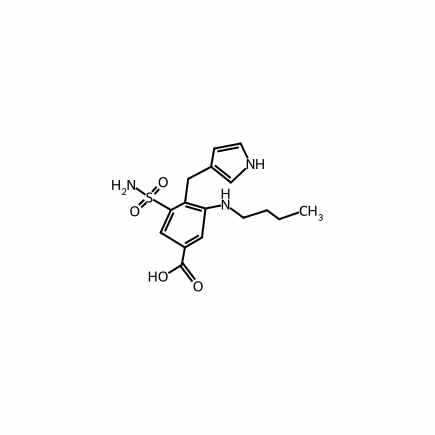 CCCCNc1cc(C(=O)O)cc(S(N)(=O)=O)c1Cc1cc[nH]c1